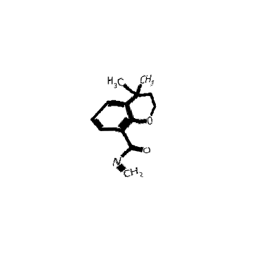 C=NC(=O)c1cccc2c1OCCC2(C)C